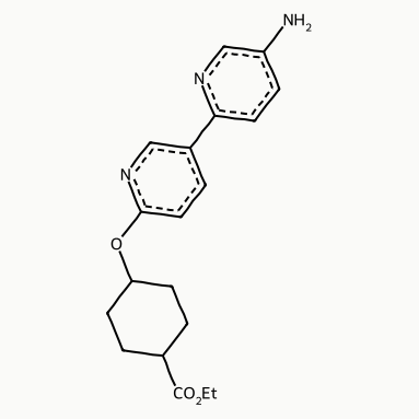 CCOC(=O)C1CCC(Oc2ccc(-c3ccc(N)cn3)cn2)CC1